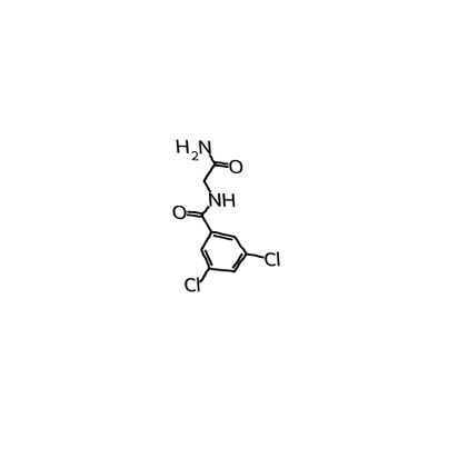 NC(=O)CNC(=O)c1cc(Cl)cc(Cl)c1